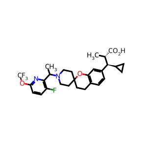 CC(c1nc(OC(F)(F)F)ccc1F)N1CCC2(CCc3ccc([C@H](C4CC4)[C@H](C)C(=O)O)cc3O2)CC1